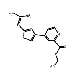 CCOC(=O)c1cc(-c2csc(N=C(N)N)n2)ccn1